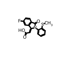 CSc1ccccc1N1C(=O)c2ccc(F)cc2C1=CC(=O)O